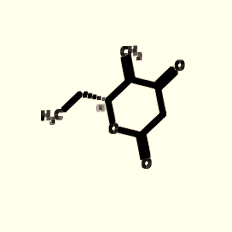 C=C1C(=O)CC(=O)O[C@@H]1CC